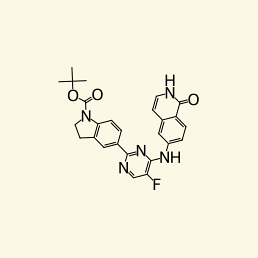 CC(C)(C)OC(=O)N1CCc2cc(-c3ncc(F)c(Nc4ccc5c(=O)[nH]ccc5c4)n3)ccc21